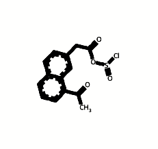 CC(=O)c1cccc2ccc(CC(=O)OS(=O)Cl)cc12